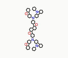 c1ccc(-n2c3ccccc3c3ccc(N(c4ccc5c(c4)oc4ccc6c(ccc7oc8cc(N(c9ccc%10oc%11ccccc%11c%10c9)c9ccc%10c%11ccccc%11n(-c%11ccccc%11)c%10c9)ccc8c76)c45)c4ccc5oc6ccccc6c5c4)cc32)cc1